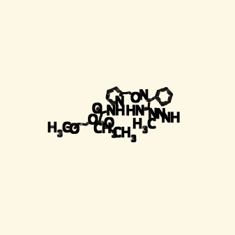 CCOC(C)(OCCOC)C(=O)Nc1cccc(CO/N=C(\C(=N)N(C)N=N)c2ccccc2)n1